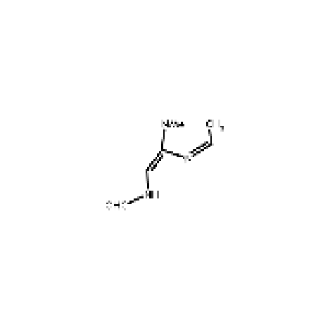 C/C=N\C(=C/NC=O)NC